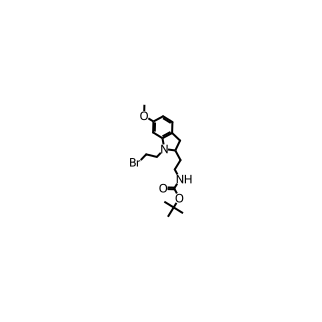 COc1ccc2c(c1)N(CCBr)C(CCNC(=O)OC(C)(C)C)C2